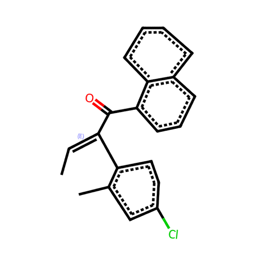 C/C=C(/C(=O)c1cccc2ccccc12)c1ccc(Cl)cc1C